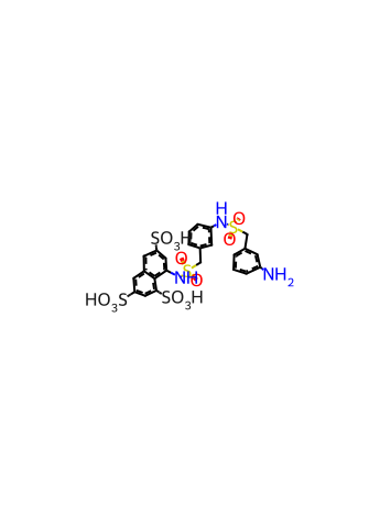 Nc1cccc(CS(=O)(=O)Nc2cccc(CS(=O)(=O)Nc3cc(S(=O)(=O)O)cc4cc(S(=O)(=O)O)cc(S(=O)(=O)O)c34)c2)c1